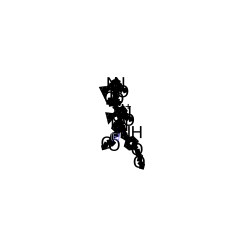 CCOCCOc1ccc(CNc2nc(-c3c(OC)nc[n+](CC4(C)OB(c5c(OC)ncnc5C5CC5)OC4(C)C)c3C3CC3)ncc2/C=C/C(=O)OCC)cc1